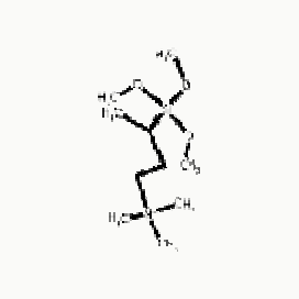 CO[Si](OC)(OC)C(C)CC[N+](C)(C)C